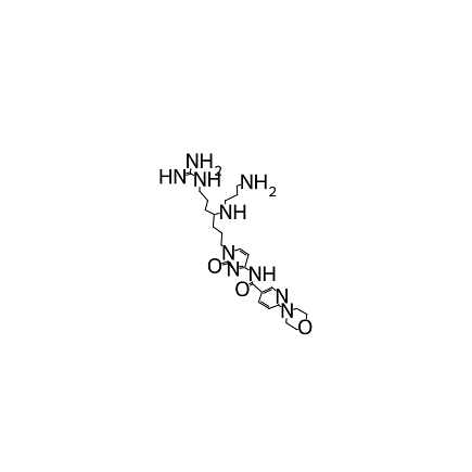 N=C(N)NCCCC(CCCn1ccc(NC(=O)c2ccc(N3CCOCC3)nc2)nc1=O)NCCCN